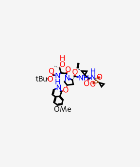 C=C[C@@H]1C[C@]1(NC(=O)[C@@H]1C[C@@H](Oc2nccc3cc(OC)ccc23)CN1C(=O)C(NC(=O)OC(C)(C)C)[C@H](C)O)C(=O)NS(=O)(=O)C1CC1